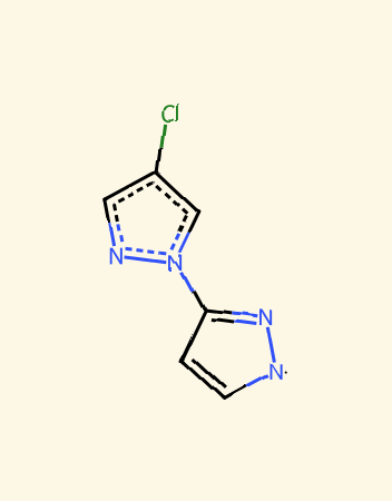 Clc1cnn(C2=N[N]C=C2)c1